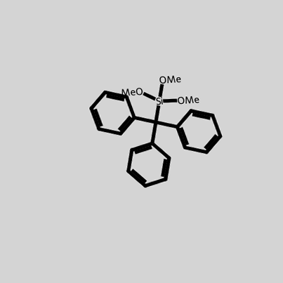 CO[Si](OC)(OC)C(c1ccccc1)(c1ccccc1)c1ccccc1